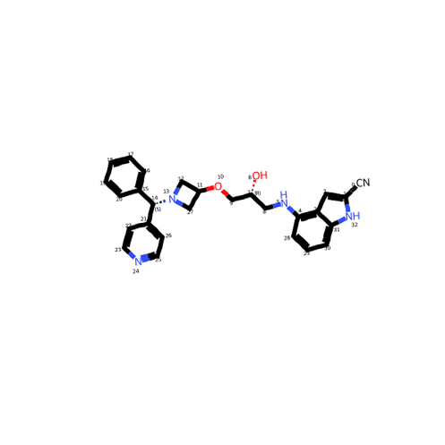 N#Cc1cc2c(NC[C@@H](O)COC3CN([C@@H](c4ccccc4)c4ccncc4)C3)cccc2[nH]1